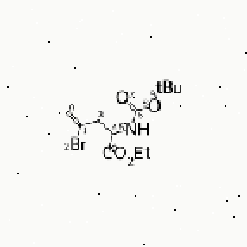 C=C(Br)CC(NC(=O)OC(C)(C)C)C(=O)OCC